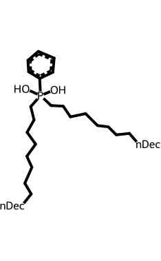 CCCCCCCCCCCCCCCCCCP(O)(O)(CCCCCCCCCCCCCCCCCC)c1ccccc1